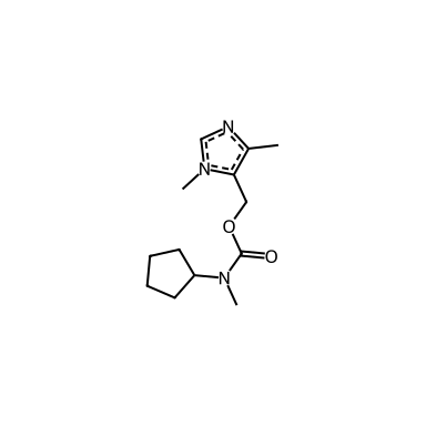 Cc1ncn(C)c1COC(=O)N(C)C1CCCC1